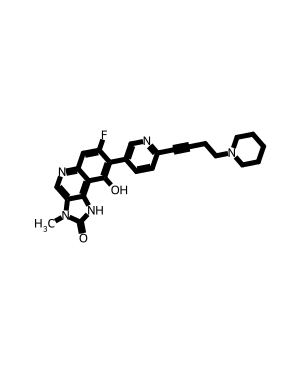 Cn1c(=O)[nH]c2c3c(O)c(-c4ccc(C#CCCN5CCCCC5)nc4)c(F)cc3ncc21